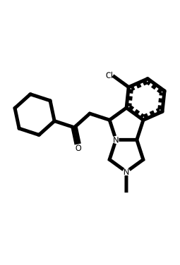 CN1CC2c3cccc(Cl)c3C(CC(=O)C3CCCCC3)N2C1